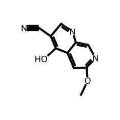 COc1cc2c(O)c(C#N)cnc2cn1